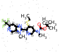 CCSc1cc(N(C)C(=O)OC(C)(C)C)cnc1-c1nc2cc(C(F)(F)F)ncc2n1C